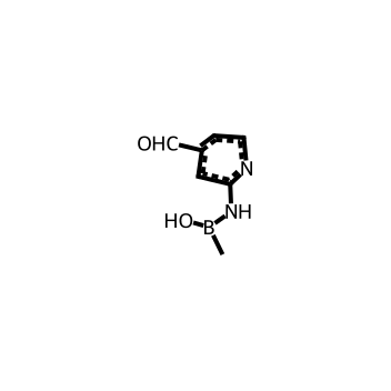 CB(O)Nc1cc(C=O)ccn1